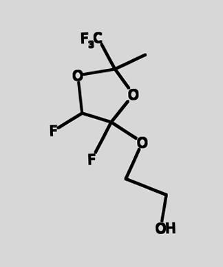 CC1(C(F)(F)F)OC(F)C(F)(OCCO)O1